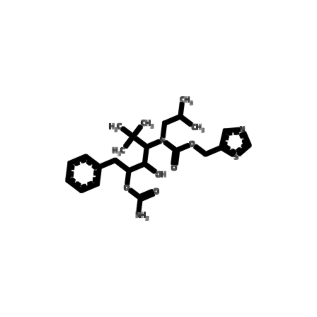 CC(C)CN(C(=O)OCc1cncs1)C(C(O)C(Cc1ccccc1)OC(N)=O)C(C)(C)C